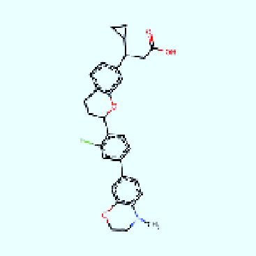 CN1CCOc2cc(-c3ccc(C4CCc5ccc(C(CC(=O)O)C6CC6)cc5O4)c(F)c3)ccc21